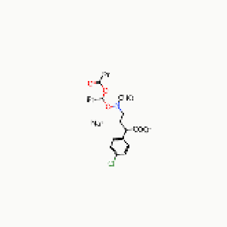 CC(C)C(=O)OC(ON(C=O)CCC(C(=O)[O-])c1ccc(Cl)cc1)C(C)C.[Na+]